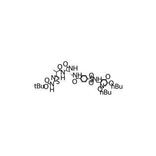 CCCCOc1cn(OCCCC)c(CNS(=O)(=O)c2ccc(C(=O)NC[C@H]3NC(=O)[C@H]3NC(=O)C(C)c3csc(NC(=O)OC(C)(C)C)n3)cc2)cc1=O